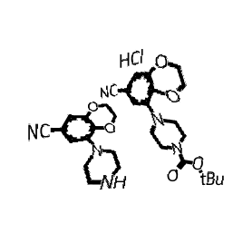 CC(C)(C)OC(=O)N1CCN(c2cc(C#N)cc3c2OCCO3)CC1.Cl.N#Cc1cc2c(c(N3CCNCC3)c1)OCCO2